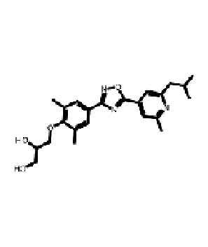 Cc1cc(-c2nc(-c3cc(C)c(OCC(O)CO)c(C)c3)no2)cc(CC(C)C)n1